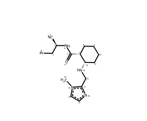 CC(C)C[C@@H](C#N)NC(=O)[C@@H]1CCCC[C@@H]1NCc1nccn1C